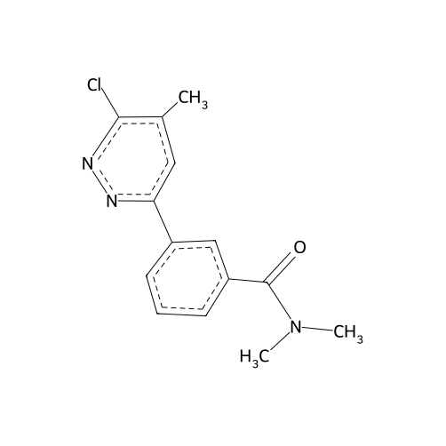 Cc1cc(-c2cccc(C(=O)N(C)C)c2)nnc1Cl